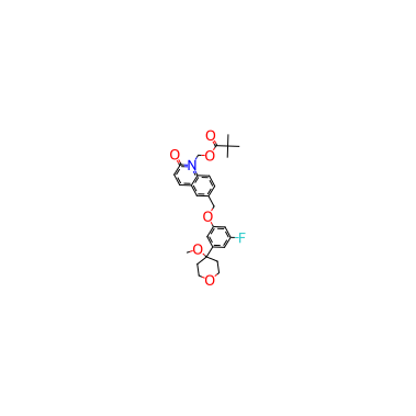 COC1(c2cc(F)cc(OCc3ccc4c(ccc(=O)n4COC(=O)C(C)(C)C)c3)c2)CCOCC1